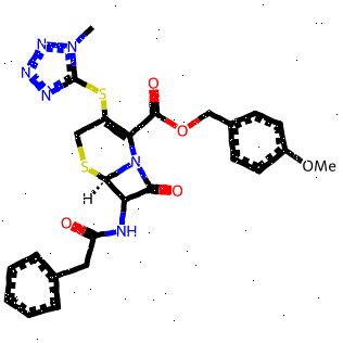 COc1ccc(COC(=O)C2=C(Sc3nnnn3C)CS[C@@H]3C(NC(=O)Cc4ccccc4)C(=O)N23)cc1